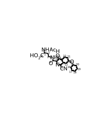 CC(=O)NC(CCNC(=O)c1nc(C#N)c2cc(Oc3ccccc3)ccc2c1O)C(=O)O